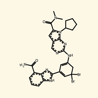 CN(C)C(=O)c1cc2cnc(NC3=CC(c4nc5c(C(N)=O)cccc5[nH]4)=CC(Br)(Br)C3)nc2n1C1CCCC1